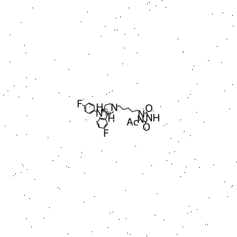 CC(=O)n1c(=O)[nH]c(=O)n1CCCCCN1CC[C@@H]2[C@@H](C1)c1cc(F)ccc1N2c1ccc(F)cc1